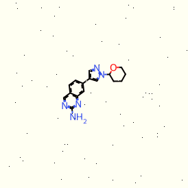 Nc1ncc2ccc(-c3cnn(C4CCCCO4)c3)cc2n1